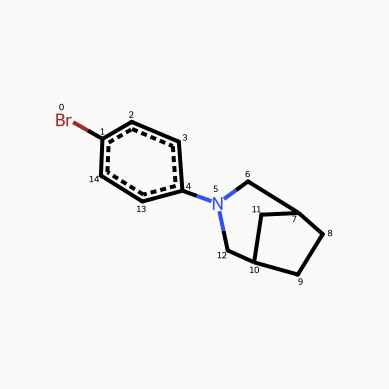 Brc1ccc(N2CC3CCC(C3)C2)cc1